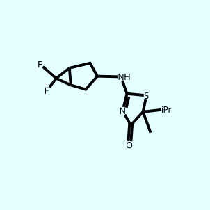 CC(C)C1(C)SC(NC2CC3C(C2)C3(F)F)=NC1=O